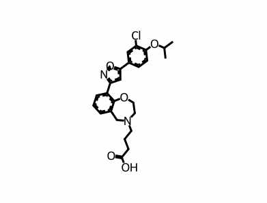 CC(C)Oc1ccc(-c2cc(-c3cccc4c3OCCN(CCCC(=O)O)C4)no2)cc1Cl